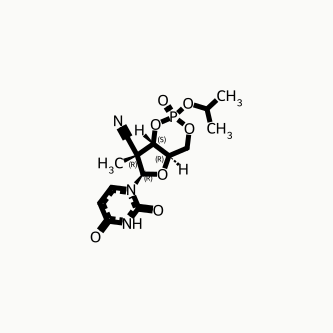 CC(C)OP1(=O)OC[C@H]2O[C@@H](n3ccc(=O)[nH]c3=O)[C@](C)(C#N)[C@@H]2O1